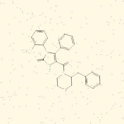 CC(=O)Nc1ccccc1-n1c(-c2ccccc2)c(C(=O)N2CCNCC2Cc2ccccc2)[nH]c1=O